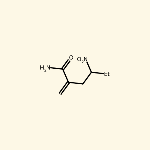 C=C(CC(CC)[N+](=O)[O-])C(N)=O